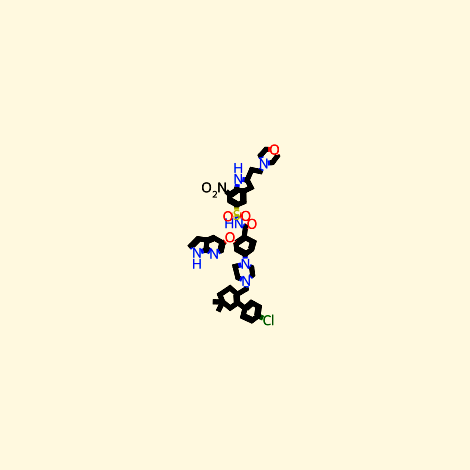 CC1(C)CCC(CN2CCN(c3ccc(C(=O)NS(=O)(=O)c4cc5c(c([N+](=O)[O-])c4)NC(CCN4CCOCC4)C5)c(Oc4cnc5[nH]ccc5c4)c3)CC2)=C(c2ccc(Cl)cc2)C1